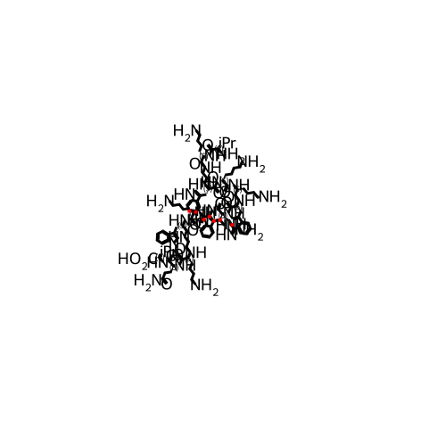 CC(C)[C@H](N)C(=O)N[C@@H](CCCCN)C(=O)NCC(=O)N[C@@H](Cc1c[nH]c2ccccc12)C(=O)N[C@@H](CCCCN)C(=O)N[C@@H](CCCCN)C(=O)N[C@@H](Cc1c[nH]c2ccccc12)C(=O)N[C@@H](Cc1c[nH]c2ccccc12)C(=O)N[C@@H](CCCNC(=N)N)C(=O)N[C@@H](CCCCN)C(=O)N[C@@H](Cc1c[nH]c2ccccc12)C(=O)NCC(=O)N[C@@H](CCCCN)C(=O)N[C@@H](CCC(N)=O)C(=O)N[C@H](C(=O)O)C(C)C